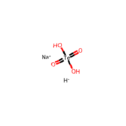 O=[Te](=O)(O)O.[H-].[Na+]